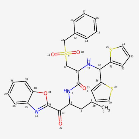 CCCC(NC(=O)C(CS(=O)(=O)Cc1ccccc1)NC(c1cccs1)c1cccs1)C(=O)c1nc2ccccc2o1